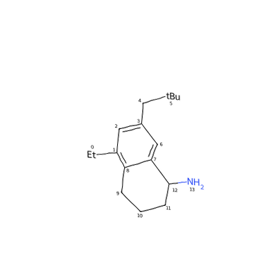 CCc1cc(CC(C)(C)C)cc2c1CCCC2N